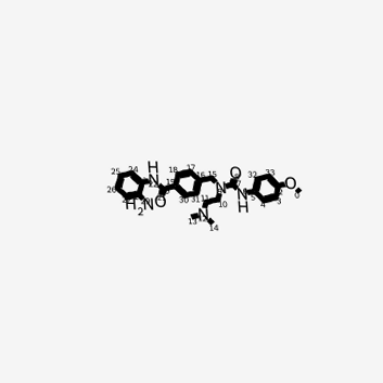 COc1ccc(NC(=O)N(CCN(C)C)Cc2ccc(C(=O)Nc3ccccc3N)cc2)cc1